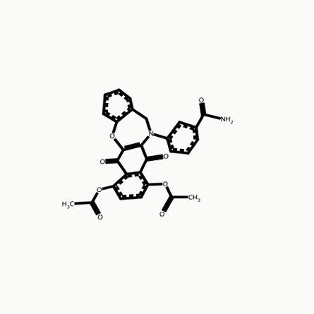 CC(=O)Oc1ccc(OC(C)=O)c2c1C(=O)C1=C(C2=O)N(c2cccc(C(N)=O)c2)Cc2ccccc2O1